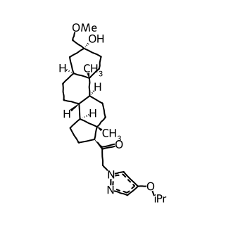 COC[C@@]1(O)CC[C@@]2(C)[C@@H](CC[C@@H]3[C@@H]2CC[C@]2(C)[C@@H](C(=O)Cn4cc(OC(C)C)cn4)CC[C@@H]32)C1